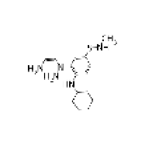 CNSc1ccc(NC2CCCCC2)c(N(N)/C=C\N)c1